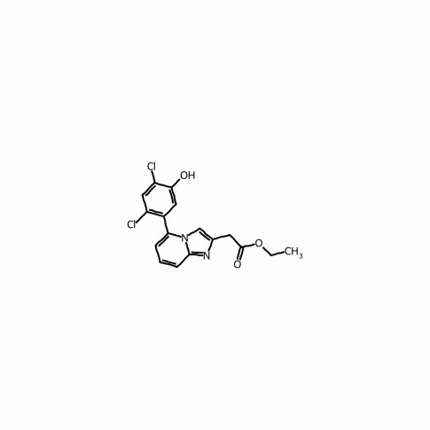 CCOC(=O)Cc1cn2c(-c3cc(O)c(Cl)cc3Cl)cccc2n1